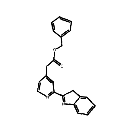 O=C(Cc1ccnc(C2=Nc3ccccc3C2)c1)OCc1ccccc1